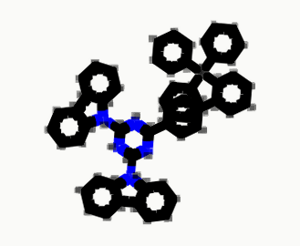 c1ccc([Si](c2ccccc2)(c2ccccc2)c2ccccc2-c2ccc(-c3nc(-n4c5ccccc5c5ccccc54)nc(-n4c5ccccc5c5ccccc54)n3)cc2)cc1